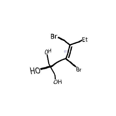 CC/C(Br)=C(\Br)C(O)(O)O